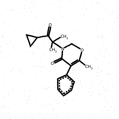 CC1=C(c2ccccc2)C(=O)N(C(C)(C)C(=O)C2CC2)CO1